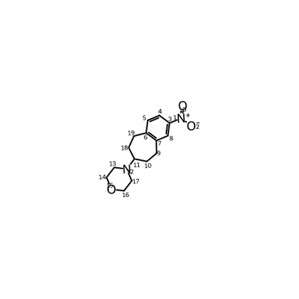 O=[N+]([O-])c1ccc2c(c1)CCC(N1CCOCC1)CC2